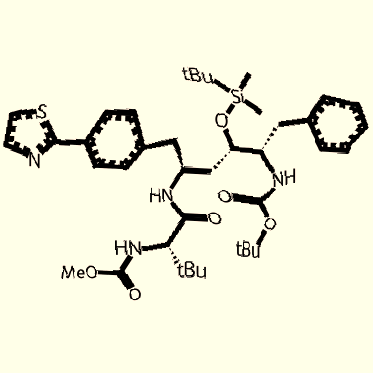 COC(=O)N[C@H](C(=O)N[C@@H](Cc1ccc(-c2nccs2)cc1)C[C@H](O[Si](C)(C)C(C)(C)C)[C@H](Cc1ccccc1)NC(=O)OC(C)(C)C)C(C)(C)C